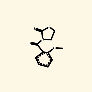 COc1ccccc1C(=O)N1CCSC1=S